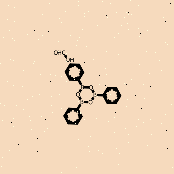 O=CO.c1ccc(B2OB(c3ccccc3)OB(c3ccccc3)O2)cc1